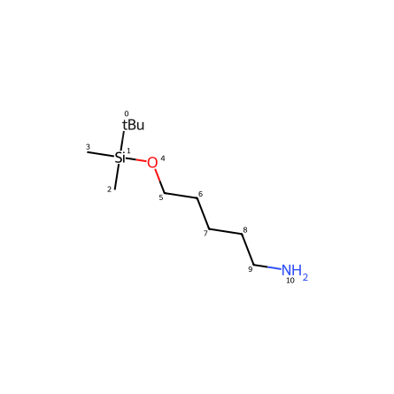 CC(C)(C)[Si](C)(C)OCCCCCN